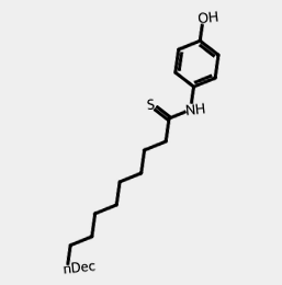 CCCCCCCCCCCCCCCCCCC(=S)Nc1ccc(O)cc1